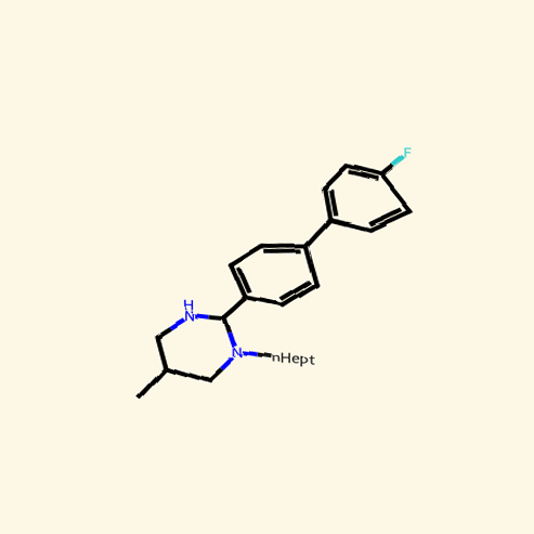 CCCCCCCN1CC(C)CNC1c1ccc(-c2ccc(F)cc2)cc1